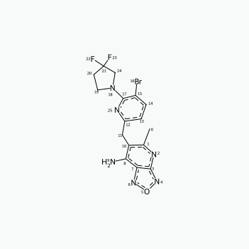 Cc1nc2nonc2c(N)c1Cc1ccc(Br)c(N2CCC(F)(F)C2)n1